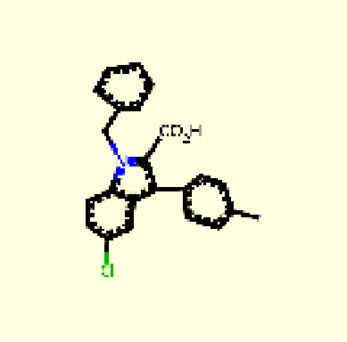 Cc1ccc(-c2c(C(=O)O)n(Cc3ccccc3)c3ccc(Cl)cc23)cc1